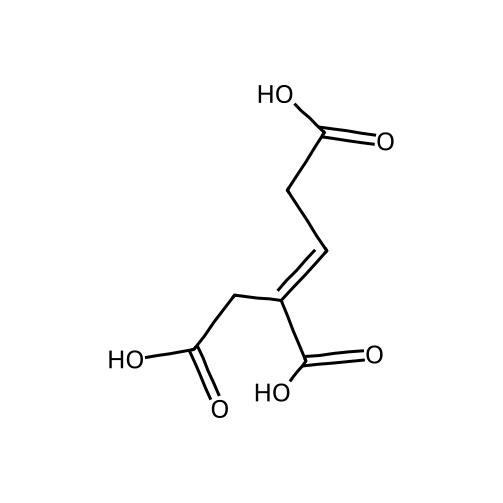 O=C(O)C/C=C(\CC(=O)O)C(=O)O